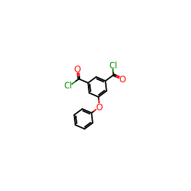 O=C(Cl)c1cc(Oc2ccccc2)cc(C(=O)Cl)c1